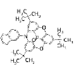 CC(C)(C)c1cc2c3c(c1)Oc1cc(C(C)(C)C)cc4c1P3(=O)c1c(cc(C(C)(C)C)cc1N4c1ccc3ccccc3c1)O2